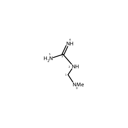 CNCNC(=N)N